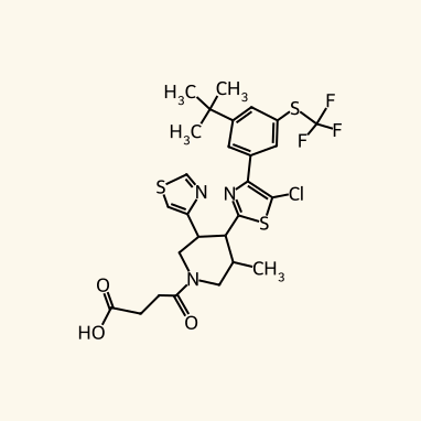 CC1CN(C(=O)CCC(=O)O)CC(c2cscn2)C1c1nc(-c2cc(SC(F)(F)F)cc(C(C)(C)C)c2)c(Cl)s1